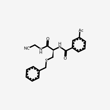 CC(=O)c1cccc(C(=O)N[C@@H](CSCc2ccccc2)C(=O)NCC#N)c1